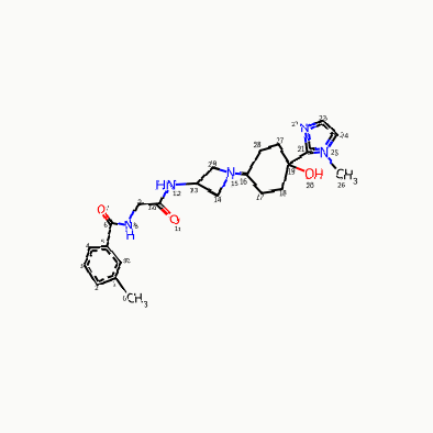 Cc1cccc(C(=O)NCC(=O)NC2CN(C3CCC(O)(c4nccn4C)CC3)C2)c1